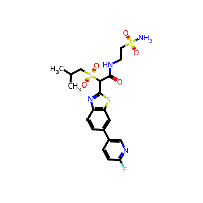 CC(C)CS(=O)(=O)C(C(=O)NCCS(N)(=O)=O)c1nc2ccc(-c3ccc(F)nc3)cc2s1